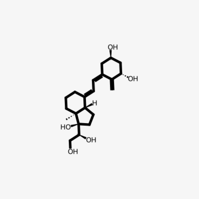 C=C1C(=CC=C2CCC[C@@]3(C)[C@H]2CC[C@]3(O)[C@@H](O)CO)C[C@@H](O)C[C@@H]1O